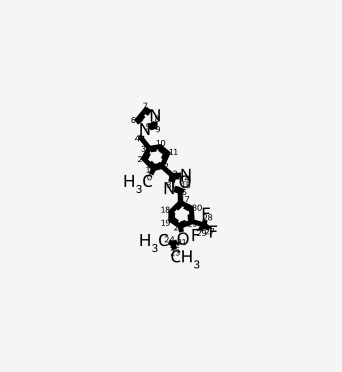 Cc1cc(Cn2ccnc2)ccc1-c1noc(-c2ccc(OC(C)C)c(C(F)(F)F)c2)n1